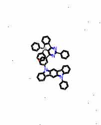 c1ccc(-c2nc(-c3cccc(-n4c5ccccc5c5cc6c(cc54)c4ccccc4n6-c4ccccc4)c3)c3c(n2)-c2ccccc2[Si]3(c2ccccc2)c2ccccc2)cc1